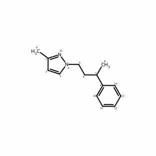 Cc1ccn(CCC(C)c2ccccc2)n1